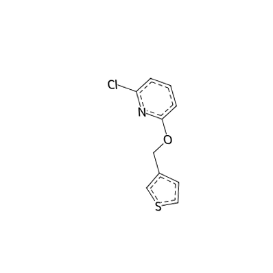 Clc1cccc(OCc2ccsc2)n1